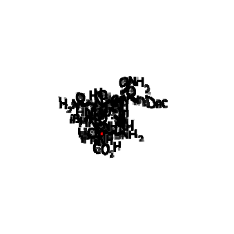 CCCCCCCCCCCC(=O)N[C@@H](CCC(N)=O)C(=O)N[C@H](Cc1c[nH]cn1)C(=O)N[C@@H](CO)C(=O)N[C@H](CCC(N)=O)C(=O)NC(C(=O)NC(C(=O)N[C@@H](CCCCN)C(=O)NC(C(=O)O)C(C)C)C(C)O)C(C)CC